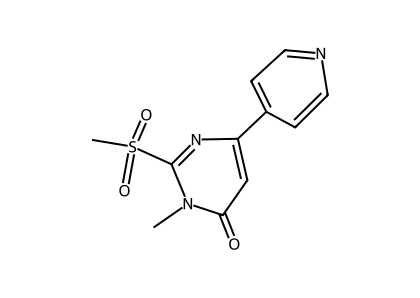 Cn1c(S(C)(=O)=O)nc(-c2ccncc2)cc1=O